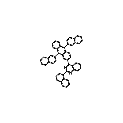 c1ccc2cc(-c3c4ccccc4c(-c4ccc5ccccc5c4)c4cc(-c5nc(-c6cccc7ccccc67)nc6ccccc56)ccc34)ccc2c1